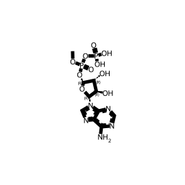 COP(=O)(O[C@H]1O[C@@H](n2cnc3c(N)ncnc32)[C@H](O)[C@H]1O)OP(=O)(O)O